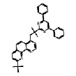 CC(C)(C)c1ccc2ccc3c(CC(C)(C)c4nc(-c5ccccc5)cc(-c5ccccc5)n4)ccnc3c2n1